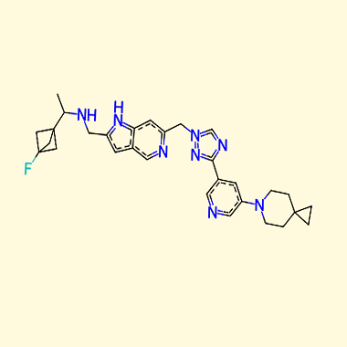 CC(NCc1cc2cnc(Cn3cnc(-c4cncc(N5CCC6(CC5)CC6)c4)n3)cc2[nH]1)C12CC(F)(C1)C2